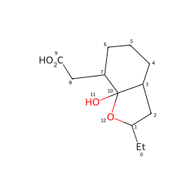 CCC1CC2CCCC(CC(=O)O)C2(O)O1